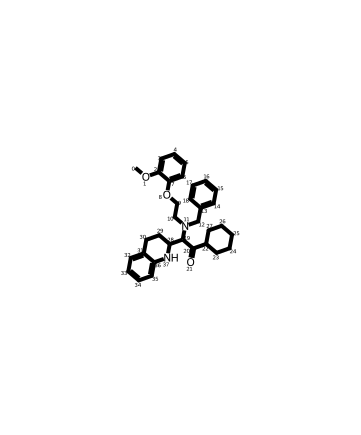 COc1ccccc1OCCN(Cc1ccccc1)C(C(=O)C1CCCCC1)C1CCc2ccccc2N1